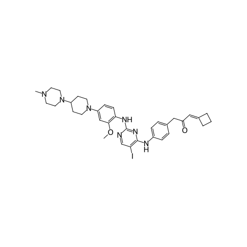 COc1cc(N2CCC(N3CCN(C)CC3)CC2)ccc1Nc1ncc(I)c(Nc2ccc(CC(=O)C=C3CCC3)cc2)n1